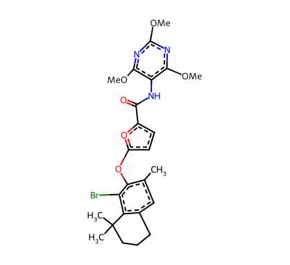 COc1nc(OC)c(NC(=O)c2ccc(Oc3c(C)cc4c(c3Br)C(C)(C)CCC4)o2)c(OC)n1